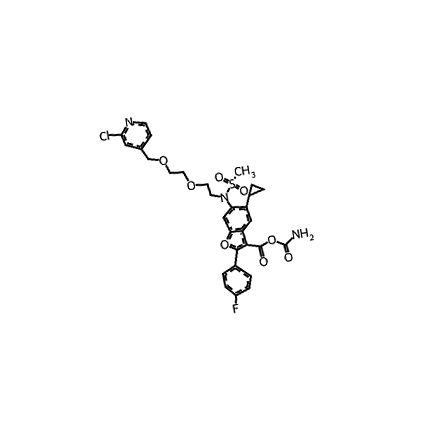 CS(=O)(=O)N(CCOCCOCc1ccnc(Cl)c1)c1cc2oc(-c3ccc(F)cc3)c(C(=O)OC(N)=O)c2cc1C1CC1